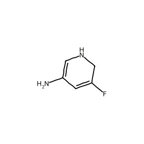 NC1=CNCC(F)=C1